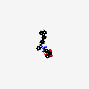 C/C(=N\C(NC(N)c1ccc2c(c1)Oc1ccccc1C21c2ccccc2-c2ccccc21)C1=CC=CCC1)c1ccc(-c2ccc3c(c2)-c2cccc4cccc-3c24)cc1